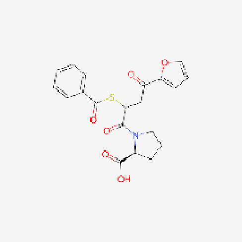 O=C(SC(CC(=O)c1ccco1)C(=O)N1CCC[C@H]1C(=O)O)c1ccccc1